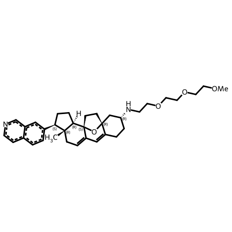 COCCOCCOCCN[C@@H]1CCC2=CC3=CC[C@]4(C)[C@@H](c5ccc6ccncc6c5)CC[C@H]4[C@@]34CC[C@]2(C1)O4